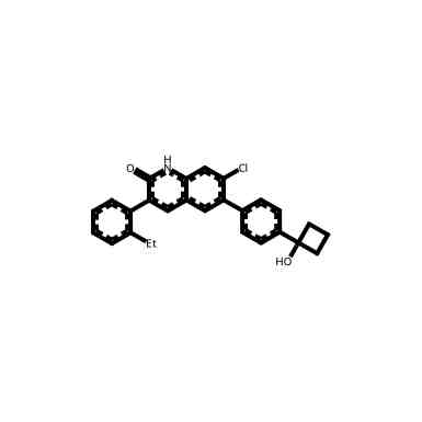 CCc1ccc[c]c1-c1cc2cc(-c3ccc(C4(O)CCC4)cc3)c(Cl)cc2[nH]c1=O